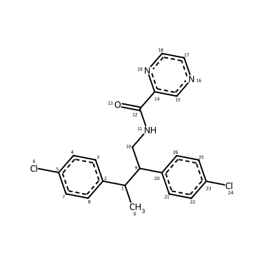 CC(c1ccc(Cl)cc1)C(CNC(=O)c1cnccn1)c1ccc(Cl)cc1